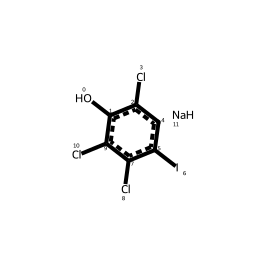 Oc1c(Cl)cc(I)c(Cl)c1Cl.[NaH]